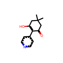 CC1(C)CC(=O)C(c2ccncc2)=C(O)C1